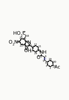 CC(=O)c1ccc(/C=C/C(=O)Nc2ccc(-c3nc4c(CC(=O)O)cc([N+](=O)[O-])cc4n3O)cc2)cc1